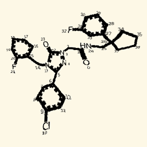 O=C(Cn1nc(-c2ccc(Cl)cc2)n(Cc2ccccc2F)c1=O)NCC1(c2cccc(F)c2)CCCC1